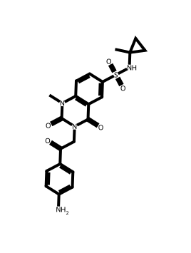 Cn1c(=O)n(CC(=O)c2ccc(N)cc2)c(=O)c2cc(S(=O)(=O)NC3(C)CC3)ccc21